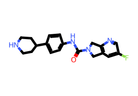 O=C(Nc1ccc(C2CCNCC2)cc1)N1Cc2cc(F)cnc2C1